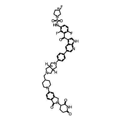 O=C1CCC(N2Cc3cc(N4CCC(CN5C[C@@H]6CN(c7ccc(-c8cnc9[nH]cc(C(=O)c%10c(F)ccc(NS(=O)(=O)N%11CC[C@@H](F)C%11)c%10F)c9c8)cc7)C[C@@H]6C5)CC4)ccc3C2=O)C(=O)N1